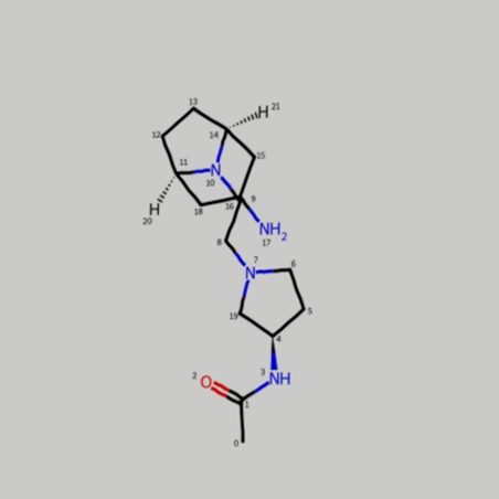 CC(=O)N[C@@H]1CCN(CCN2[C@@H]3CC[C@H]2CC(N)C3)C1